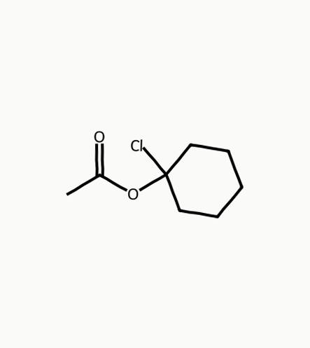 CC(=O)OC1(Cl)CCCCC1